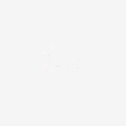 COc1cc2c(cc1OC)C(OC(C)=O)=C(C1CCN(C)C(Cc3ccccc3)C1)C2